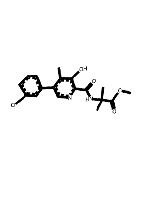 COC(=O)C(C)(C)NC(=O)c1ncc(-c2cccc(Cl)c2)c(C)c1O